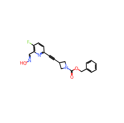 O=C(OCc1ccccc1)N1CC(C#Cc2ccc(F)c(C=NO)n2)C1